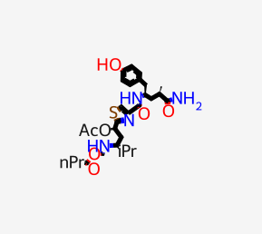 CCCC(=O)OCN[C@H](C[C@@H](OC(C)=O)c1nc(C(=O)N[C@@H](Cc2ccc(O)cc2)C[C@H](C)C(N)=O)cs1)C(C)C